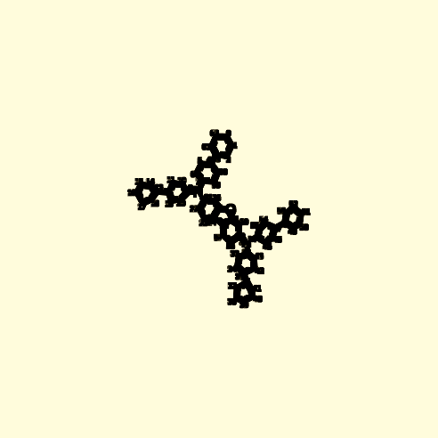 c1ccc(-c2ccc(N(c3ccc(-c4ccccc4)cc3)c3ccc4c(c3)oc3cc(N(c5ccc(-c6ccccc6)cc5)c5ccc(-c6ccccc6)cc5)ccc34)cc2)cc1